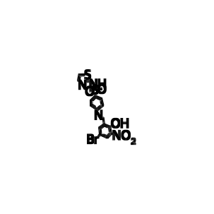 O=[N+]([O-])c1cc(Br)cc(/C=N/c2ccc(S(=O)(=O)Nc3nccs3)cc2)c1O